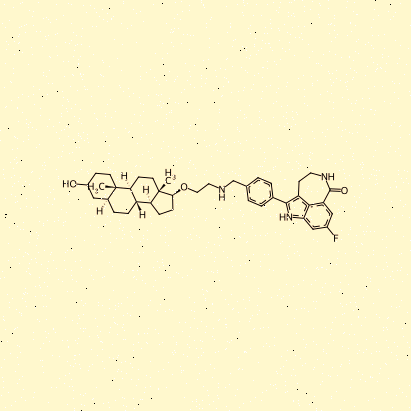 C[C@]12CCC(O)C[C@@H]1CC[C@@H]1[C@@H]2CC[C@]2(C)[C@@H](OCCNCc3ccc(-c4[nH]c5cc(F)cc6c5c4CCNC6=O)cc3)CC[C@@H]12